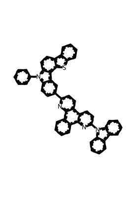 c1ccc(-n2c3ccc(-c4ccc5c6ccc(-n7c8ccccc8c8ccccc87)nc6c6ccccc6c5n4)cc3c3c4sc5ccccc5c4ccc32)cc1